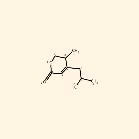 CC(C)CC1=CC(=O)OCC1C